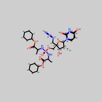 CC(NP(=O)(NC(C)C(=O)OC1CCCCC1)OC[C@@]1(CN=[N+]=[N-])OC(n2ccc(=O)[nH]c2=O)[C@H](F)[C@@H]1O)C(=O)OC1CCCCC1